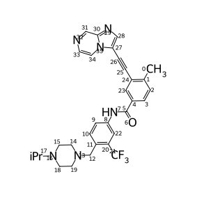 Cc1ccc(C(=O)Nc2ccc(CN3CCN(C(C)C)CC3)c(C(F)(F)F)c2)cc1C#Cc1cnc2cnccn12